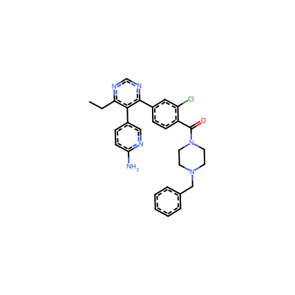 CCc1ncnc(-c2ccc(C(=O)N3CCN(Cc4ccccc4)CC3)c(Cl)c2)c1-c1ccc(N)nc1